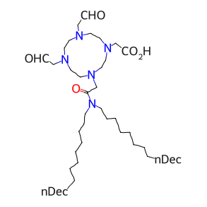 CCCCCCCCCCCCCCCCCCN(CCCCCCCCCCCCCCCCCC)C(=O)CN1CCN(CC=O)CCN(CC=O)CCN(CC(=O)O)CC1